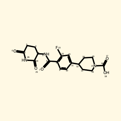 O=C1CCC(NC(=O)c2ccc(C3CCN(C(=O)O)CC3)cc2F)C(=O)N1